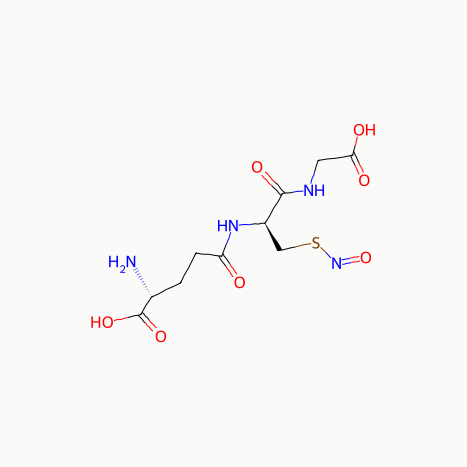 N[C@H](CCC(=O)N[C@H](CSN=O)C(=O)NCC(=O)O)C(=O)O